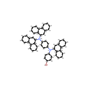 Brc1ccc(N(c2ccc(N(c3cc4ccccc4c4ccccc34)c3cc4ccccc4c4ccccc34)cc2)c2cc3ccccc3c3ccccc23)cc1